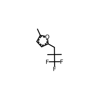 Cc1ccc(CC(C)(C)C(F)(F)F)o1